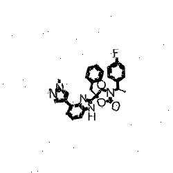 C[C@H](c1ccc(F)cc1)N1C(=O)O[C@](Cc2ccccc2)(c2nc3c(-c4cnn(C)c4)cccc3[nH]2)C1=O